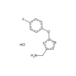 Cl.NCc1cnc(Oc2ccc(F)cc2)s1